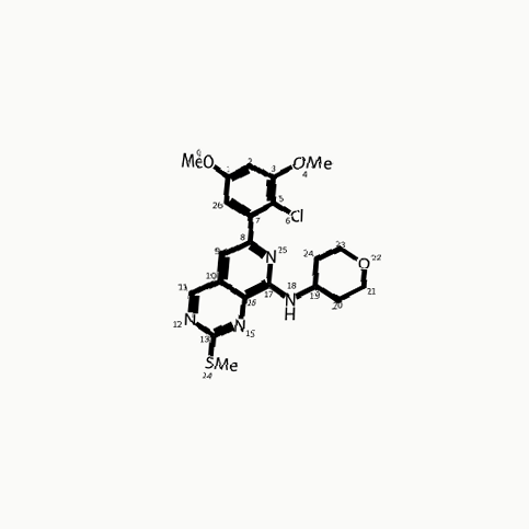 COc1cc(OC)c(Cl)c(-c2cc3cnc(SC)nc3c(NC3CCOCC3)n2)c1